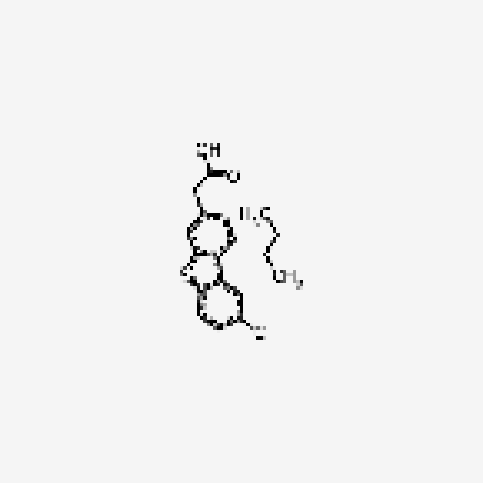 CCCC.O=C(O)Cc1ccc2c(c1)sc1ccc(Cl)cc12